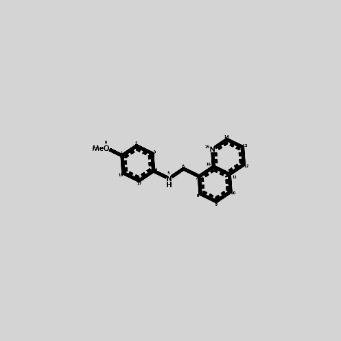 COc1ccc(NCc2cccc3cccnc23)cc1